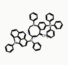 C=C1/C=C(N(c2ccccc2)c2ccc3c4c2ccc2cccc(c24)n3-c2ccccc2)\C=C/CN(c2ccccc2)c2ccc([Si](c3ccccc3)(c3ccccc3)c3ccccc3)cc21